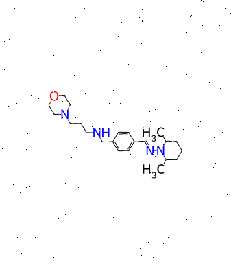 CC1CCCC(C)N1/N=C/c1ccc(CNCCCN2CCOCC2)cc1